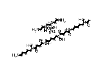 CC(=O)N(O)CCCCCNC(=O)CCC(=O)N(O)CCCCCNC(=O)CCC(=O)N(O)CCCCCN.CS(=O)(=O)O.NCCNCCNCCN